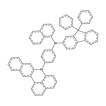 c1ccc(C2(c3ccccc3)c3ccccc3-c3ccc(N(c4ccc(N5c6cc7ccccc7cc6-c6cccc7cccc5c67)cc4)c4cccc5ccccc45)cc32)cc1